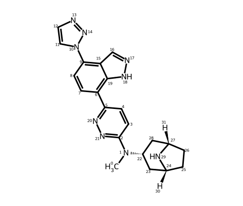 CN(c1ccc(-c2ccc(-n3ccnn3)c3cn[nH]c23)nn1)[C@H]1C[C@H]2CC[C@@H](C1)N2